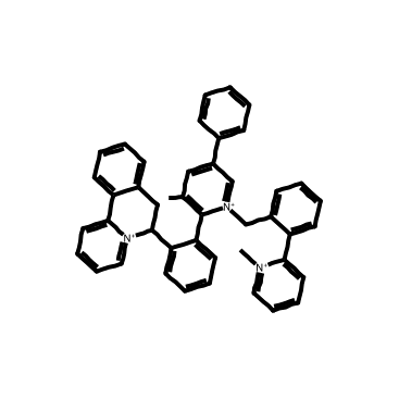 Cc1cc(-c2ccccc2)c[n+](Cc2ccccc2-c2cccc[n+]2C)c1-c1ccccc1C1Cc2ccccc2-c2cccc[n+]21